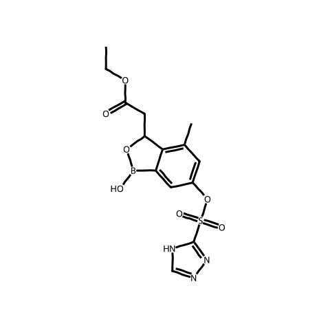 CCOC(=O)CC1OB(O)c2cc(OS(=O)(=O)c3nnc[nH]3)cc(C)c21